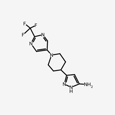 Nc1cc(C2CCN(c3cnc(C(F)(F)F)nc3)CC2)n[nH]1